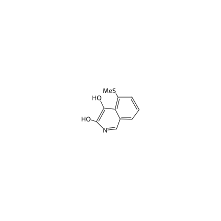 CSc1cccc2cnc(O)c(O)c12